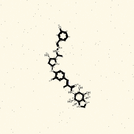 C/C(=C\c1ccc(O[C@H]2C[C@H](O)[C@@H](C(C)NN=Cc3cccc(Cl)c3)O2)c(F)c1)C(=O)N[C@@H]1[C@H](O)[C@@H](O)[C@H]2OCO[C@H]2[C@@H]1O